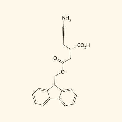 NC#CC[C@@H](CC(=O)OCC1c2ccccc2-c2ccccc21)C(=O)O